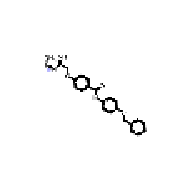 N=C(COc1ccc(C(=O)Nc2ccc(OCc3ccccc3)cc2)cc1)/N=N\N